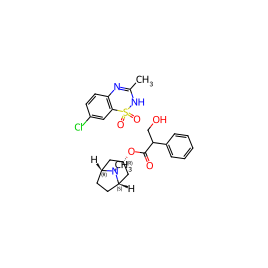 CC1=Nc2ccc(Cl)cc2S(=O)(=O)N1.CN1[C@@H]2CC[C@H]1C[C@@H](OC(=O)C(CO)c1ccccc1)C2